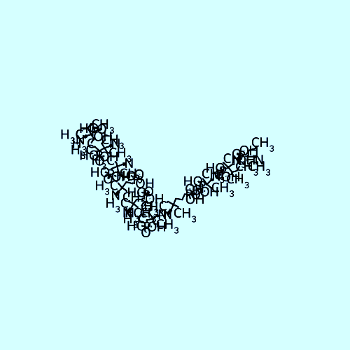 CCC(C#N)(CC)C(C)P(=O)(O)O.CCC(C#N)(CC)CC(C)P(=O)(O)O.CCC(C#N)(CC)CCCP(=O)(O)O.CCC(C#N)(CC)CCP(=O)(O)O.CCC(C#N)(CC)CP(=O)(O)O.CCC(C#N)(CC)P(=O)(O)O.CCC(C(C#N)(CC)CC)P(=O)(O)O.CCC(C)C(C#N)(CC)P(=O)(O)O.CCC(CC)C(C#N)(CC)P(=O)(O)O.CCCC(C#N)(CC)P(=O)(O)O